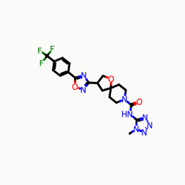 Cn1nnnc1NC(=O)N1CCC2(CC1)CC(c1noc(-c3ccc(C(F)(F)F)cc3)n1)CO2